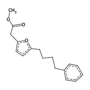 COC(=O)Cc1ccc(CCCCc2ccccc2)o1